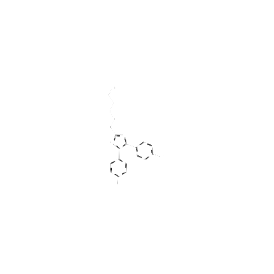 Clc1ccc(-c2nc(CCCCCBr)oc2-c2ccc(Cl)cc2)cc1